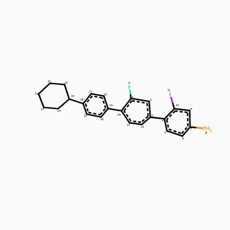 Fc1cc(-c2ccc(P)cc2I)ccc1-c1ccc(C2CCCCC2)cc1